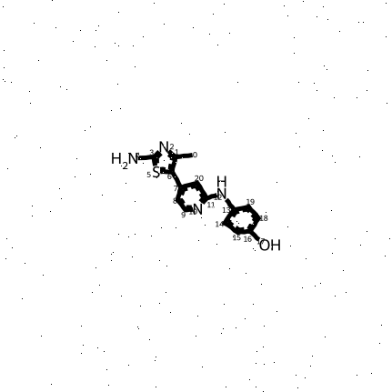 Cc1nc(N)sc1-c1ccnc(Nc2ccc(O)cc2)c1